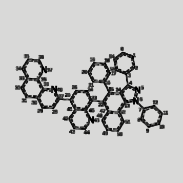 c1ccc(-c2nn(-c3ccccc3)c3c2c(-c2ccccc2)c(-c2ccc(-c4ccc5ccc6cccnc6c5n4)c4cccnc24)c2ccccc23)cc1